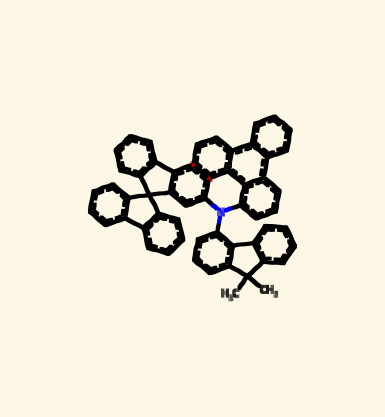 CC1(C)c2ccccc2-c2c(N(c3ccc4c(c3)C3(c5ccccc5-c5ccccc53)c3ccccc3-4)c3cccc4c5ccccc5c5ccccc5c34)cccc21